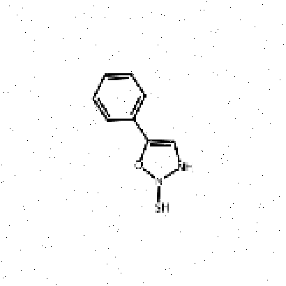 SN1NC=C(c2ccccc2)O1